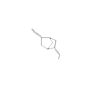 C=C=C1CC2CC1CC2=CC